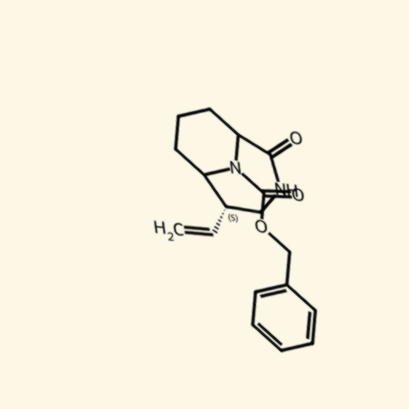 C=C[C@H]1CNC(=O)C2CCCC1N2C(=O)OCc1ccccc1